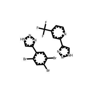 Brc1cc(Br)c(-c2c[nH]nn2)cc1Br.FC(F)(F)c1ccnc(-c2c[nH]nn2)c1